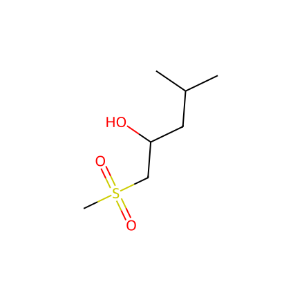 CC(C)CC(O)CS(C)(=O)=O